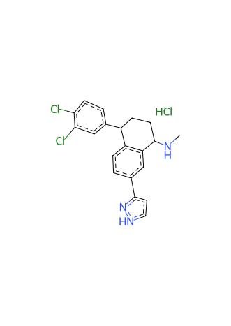 CNC1CCC(c2ccc(Cl)c(Cl)c2)c2ccc(-c3cc[nH]n3)cc21.Cl